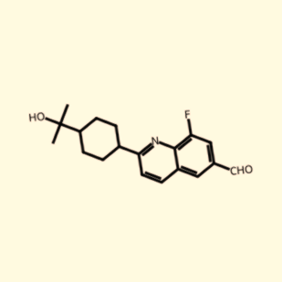 CC(C)(O)C1CCC(c2ccc3cc(C=O)cc(F)c3n2)CC1